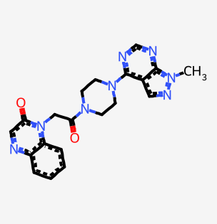 Cn1ncc2c(N3CCN(C(=O)Cn4c(=O)cnc5ccccc54)CC3)ncnc21